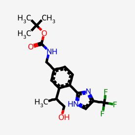 CC(CO)c1cc(CNC(=O)OC(C)(C)C)ccc1-c1nc(C(F)(F)F)c[nH]1